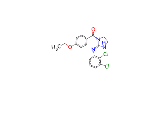 CCOc1ccc(C(=O)N2CCNC2=Nc2cccc(Cl)c2Cl)cc1